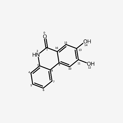 O=c1[nH]c2ccccc2c2cc(O)c(O)cc12